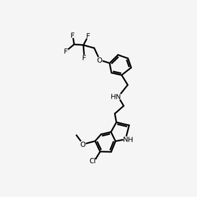 COc1cc2c(CCNCc3cccc(OCC(F)(F)C(F)F)c3)c[nH]c2cc1Cl